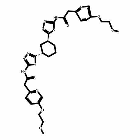 COCCOc1ccc(CC(=O)Nc2nnc([C@H]3CCC[C@H](c4nnc(NC(=O)Cc5ccc(OCCOC)cn5)s4)C3)s2)nc1